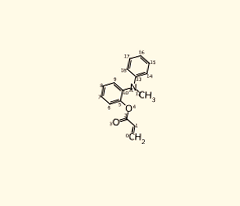 C=CC(=O)Oc1ccccc1N(C)c1ccccc1